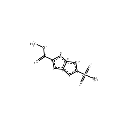 COC(=O)c1cc2cc(S(N)(=O)=O)sc2s1